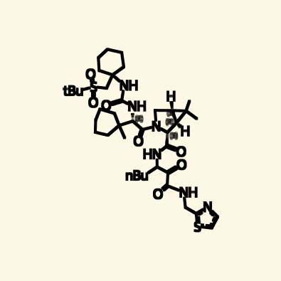 CCCCC(NC(=O)[C@@H]1[C@@H]2[C@H](CN1C(=O)[C@@H](NC(=O)NC1(CS(=O)(=O)C(C)(C)C)CCCCC1)C1(C)CCCCC1)C2(C)C)C(=O)C(=O)NCc1nccs1